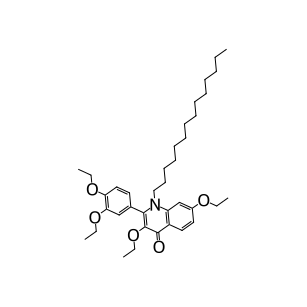 CCCCCCCCCCCCCCn1c(-c2ccc(OCC)c(OCC)c2)c(OCC)c(=O)c2ccc(OCC)cc21